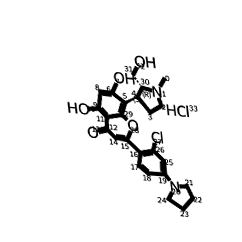 CN1CC[C@@H](c2c(O)cc(O)c3c(=O)cc(-c4ccc(N5CCCC5)cc4Cl)oc23)[C@@H]1CO.Cl